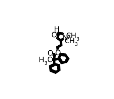 CC(C(=O)OCCC1C2O[C@@H]2C[N+]1(C)C)(c1ccccc1)c1ccccc1